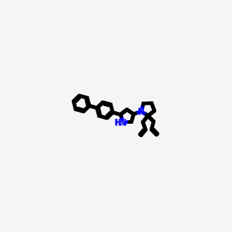 C=CCC1(CC=C)CCCN1C1CNC(c2ccc(-c3ccccc3)cc2)C1